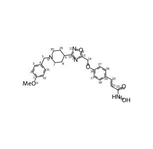 COc1ccc(CN2CCC(c3noc(COc4ccc(C=CC(=O)NO)cc4)n3)CC2)cc1